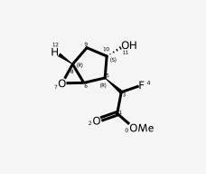 COC(=O)C(F)[C@H]1C2O[C@@H]2C[C@@H]1O